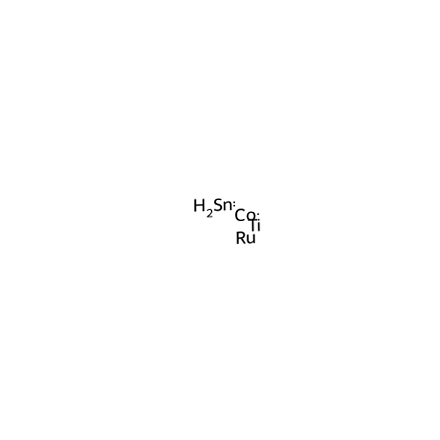 [Co].[Ru].[SnH2].[Ti]